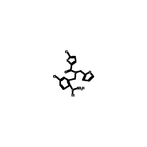 CCN(c1ccc(Cl)cc1CN(Cc1ccco1)C(=O)c1ccc(Cl)s1)S(=O)(=O)O